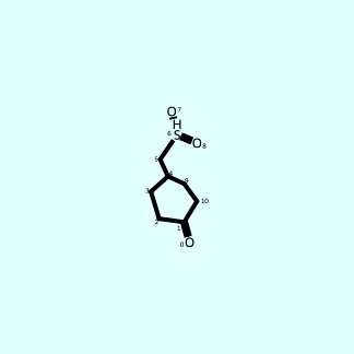 O=C1CCC(C[SH](=O)=O)CC1